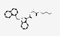 CC(C)(C)[C@H](NC(=O)c1nn(Cc2cccc3ccccc23)c2ccccc12)C(=O)NC[C@H](O)CO